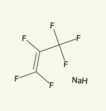 FC(F)=C(F)C(F)(F)F.[NaH]